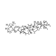 CC(C)(C)[Si](C)(C)OC1CC[C@@]2(C=O)C(=CC[C@@H]3[C@H]2CC[C@]2(C)C(O[Si](C)(C)C(C)(C)C)CC[C@@H]32)C1